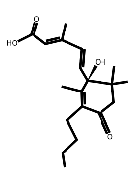 CCCCC1=C(C)[C@](O)(C=CC(C)=CC(=O)O)C(C)(C)CC1=O